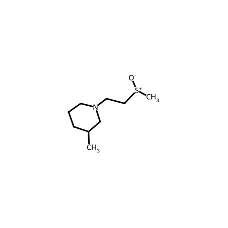 CC1CCCN(CC[S+](C)[O-])C1